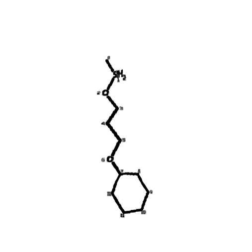 C[SiH2]OCCCOC1CCCCC1